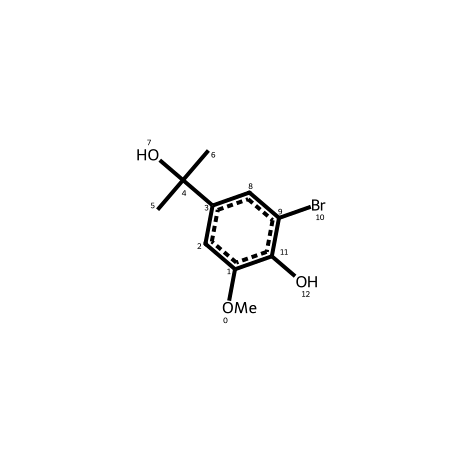 COc1cc(C(C)(C)O)cc(Br)c1O